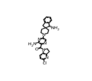 Nc1nc(N2CCC3(CC2)Cc2ccccc2[C@H]3N)cnc1C(=O)N1CCc2nc(Cl)ccc21